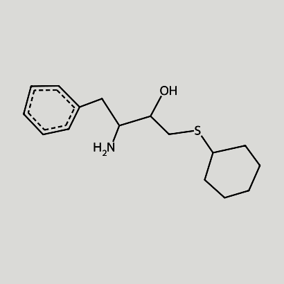 NC(Cc1ccccc1)C(O)CSC1CCCCC1